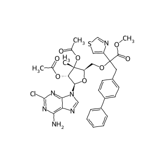 COC(=O)C(Cc1ccc(-c2ccccc2)cc1)(OC[C@H]1O[C@@H](n2cnc3c(N)nc(Cl)nc32)[C@H](OC(C)=O)[C@]1(C)OC(C)=O)c1cscn1